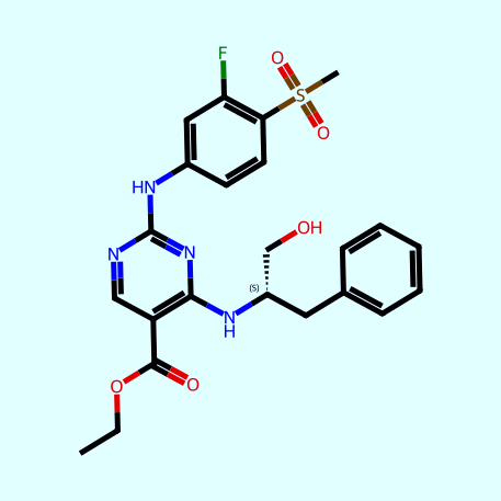 CCOC(=O)c1cnc(Nc2ccc(S(C)(=O)=O)c(F)c2)nc1N[C@H](CO)Cc1ccccc1